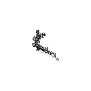 CCCCC[C@H]1CC[C@H](c2ccc(-c3ccc(C(=O)Nc4ccc(-c5ccc6c(OC)cc7c(oc8c9c(c%10ccccc%10c87)OC(c7ccc(OC)cc7)(c7ccc(OC)cc7)C=C9)c6c5)c(C(F)(F)F)c4)cc3)cc2)CC1